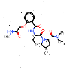 CC(C)C[C@@H](NC(=O)c1ccccc1OCC(=O)NC(C)(C)C)C(=O)N1C[C@@H](C(F)(F)F)C[C@H]1C(=O)N(C)C(C)C